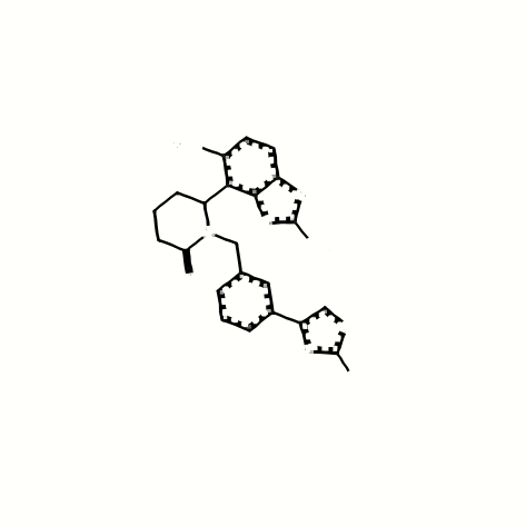 COc1ccc2nc(C)oc2c1C1CCCC(=O)N1Cc1cccc(-c2csc(C)n2)c1